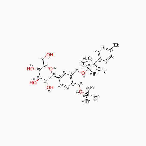 CCc1ccc(C(C)(C)[Si](OCc2cc([C@@H]3O[C@H](CO)[C@@H](O)[C@H](O)[C@H]3O)ccc2CO[Si](C(C)C)(C(C)C)C(C)C)(C(C)C)C(C)C)cc1